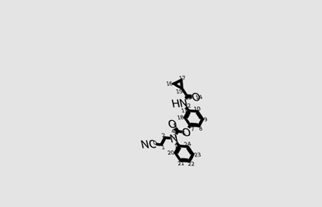 N#CCCN(C(=O)Oc1cccc(NC(=O)C2CC2)c1)c1ccccc1